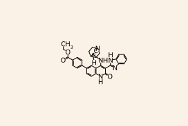 CCOC(=O)c1ccc(-c2ccc3[nH]c(=O)c(-c4nc5ccccc5[nH]4)c(N[C@H]4CN5CCC4CC5)c3c2)cc1